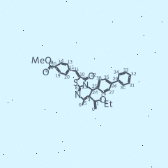 C=C(OCC)C1=C(C)N=c2s/c(=C\c3ccc(C(=O)OC)cc3)c(=O)n2C1c1ccc(-c2ccccc2)cc1